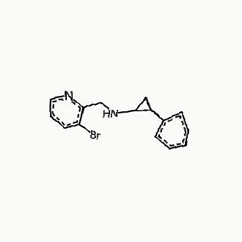 Brc1cccnc1CNC1CC1c1ccccc1